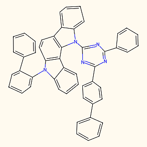 c1ccc(-c2ccc(-c3nc(-c4ccccc4)nc(-n4c5ccccc5c5ccc6c(c7ccccc7n6-c6ccccc6-c6ccccc6)c54)n3)cc2)cc1